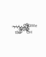 C=CCCCCC[C@H](NC(=O)OC(C)(C)C)C(=O)N1C[C@H](O)CC1C(=O)OC